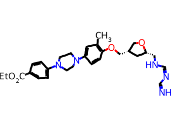 CCOC(=O)c1ccc(N2CCN(c3ccc(OC[C@@H]4CO[C@H](CN/C=N\C=N)C4)c(C)c3)CC2)cc1